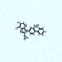 Cc1cnc2c(nc(C3CC3)n2-c2ccc(-c3ccccc3C#N)cc2)c1C